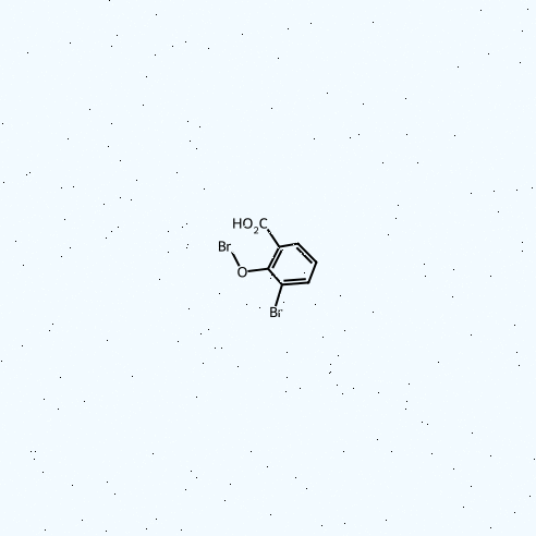 O=C(O)c1cccc(Br)c1OBr